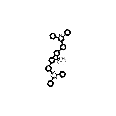 CC1(C)c2cc(-c3cccc(-c4cc(-c5ccccc5)nc(-c5ccccc5)c4)c3)ccc2-c2ccc(-c3cccc(-c4nc(-c5ccccc5)nc(-c5ccccc5)n4)c3)cc21